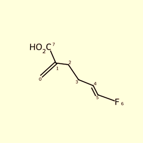 C=C(CCC=CF)C(=O)O